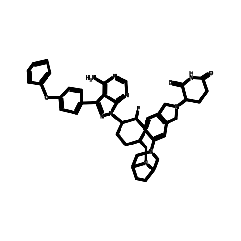 Nc1ncnc2c1c(-c1ccc(Oc3ccccc3)cc1)nn2C1CCC(CN2C3CCC2CN(c2ccc4c(c2)CN(C2CCC(=O)NC2=O)C4)C3)CC1F